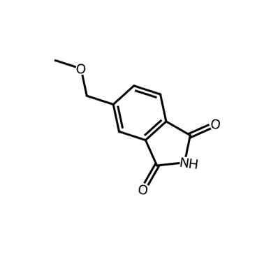 COCc1ccc2c(c1)C(=O)NC2=O